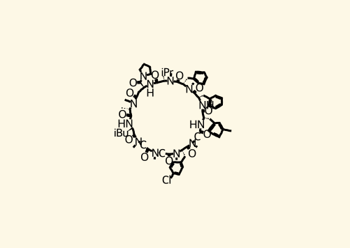 CC[C@H](C)[C@@H]1NC(=O)[C@H](C)N(C)C(=O)C[C@@H](C(=O)N2CCCC2)NC(=O)[C@H](C(C)C)N(C)C(=O)[C@H](Cc2ccccc2)N(C)C(=O)[C@H](Cc2ccccc2)NC(=O)[C@H](Cc2cccc(C)c2)NC(=O)CN(C)C(=O)[C@H](Cc2ccc(Cl)cc2)N(C)C(=O)CN(C)C(=O)CN(C)C1=O